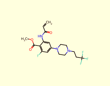 C=CC(=O)Nc1cc(N2CCN(CCC(F)(F)F)CC2)cc(F)c1C(=O)OC